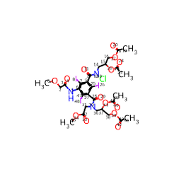 COCC(=O)Nc1c(I)c(C(=O)N(Cl)CC(COC(C)=O)OC(C)=O)c(I)c(C(=O)N(CC(=O)OC)CC(COC(C)=O)OC(C)=O)c1I